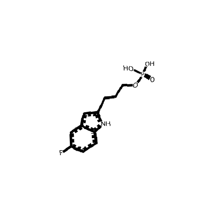 O=P(O)(O)OCCCc1cc2cc(F)ccc2[nH]1